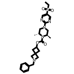 CCS(=O)(=O)c1cnc(N2C[C@@H](C)N(C(=O)OC3CC4(C3)CN(Cc3ccccc3)C4)[C@H](C)C2)nc1